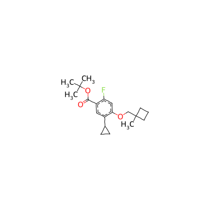 CC1(COc2cc(F)c(C(=O)OC(C)(C)C)cc2C2CC2)CCC1